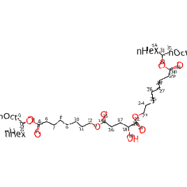 CCCCCCCCC(CCCCCC)OC(=O)CCCCCCCOC(=O)CCC(O)C(=O)OCCCCCCCC(=O)OC(CCCCCC)CCCCCCCC